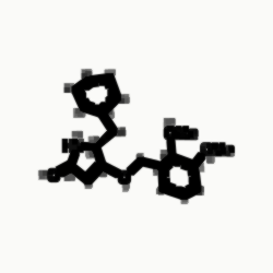 COc1cccc(COC2=CC(=O)N[C@H]2Cc2ccccc2)c1OC